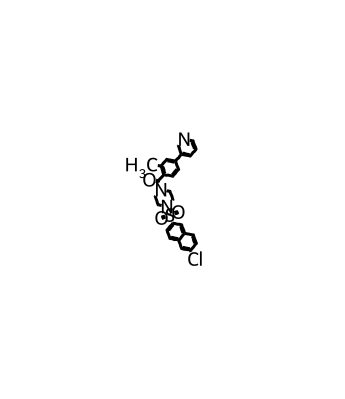 Cc1cc(-c2cccnc2)ccc1C(=O)N1CCN(S(=O)(=O)c2ccc3cc(Cl)ccc3c2)CC1